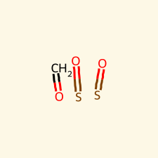 C=O.O=S.O=S